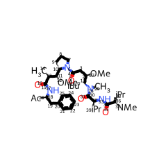 CC[C@H](C)[C@@H]([C@@H](CC(=O)N1CCC[C@H]1[C@H](OC)[C@@H](C)C(=O)N[C@@H](Cc1ccccc1)C(C)=O)OC)N(C)C(=O)[C@@H](NC(=O)[C@@H](NC)C(C)C)C(C)C